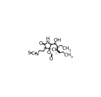 CC/C=C\[C@H](CC)[C@H](O)[C@@H]1NC(=O)[C@H](CCN=C=S)[C@]1(C)OC=O